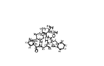 CC(C)CC(NC(=O)C1(Cc2ccccc2)CC(CNC(=O)c2ccnn2C2CCOCC2)=NO1)B(O)O